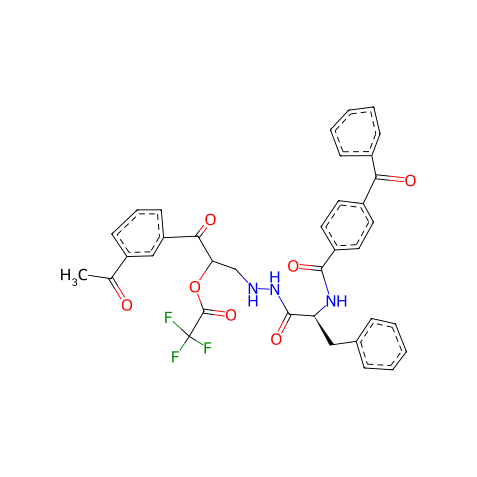 CC(=O)c1cccc(C(=O)C(CNNC(=O)[C@H](Cc2ccccc2)NC(=O)c2ccc(C(=O)c3ccccc3)cc2)OC(=O)C(F)(F)F)c1